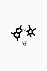 CC1=Cc2c(C)cc(C)cc2[CH]1[Zr+2][C]1=C(C)C(C)=C(C)C1(C)C.[Cl-].[Cl-]